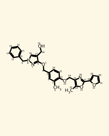 Cc1cc(COc2nn(Cc3ccccc3)cc2CO)ccc1OCc1nc(-c2ccco2)oc1C